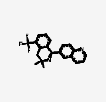 CC1(C)Cc2c(cccc2C(F)(F)F)C(c2ccc3ncccc3c2)=N1